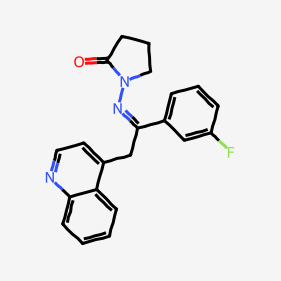 O=C1CCCN1N=C(Cc1ccnc2ccccc12)c1cccc(F)c1